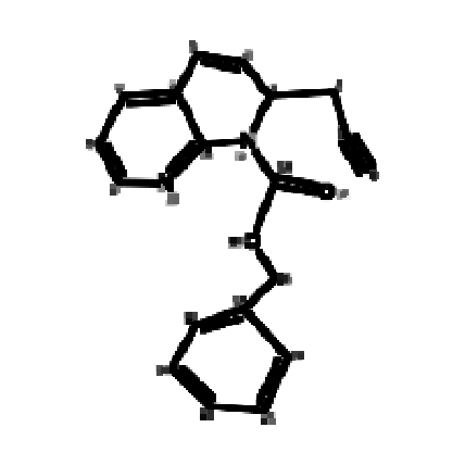 C#CCC1C=Cc2cccnc2N1C(=O)OCc1ccccc1